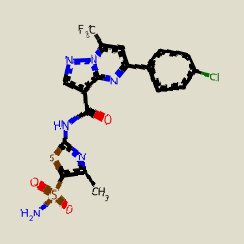 Cc1nc(NC(=O)c2cnn3c(C(F)(F)F)cc(-c4ccc(Cl)cc4)nc23)sc1S(N)(=O)=O